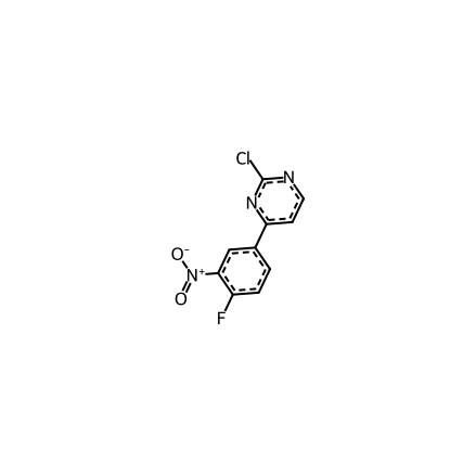 O=[N+]([O-])c1cc(-c2ccnc(Cl)n2)ccc1F